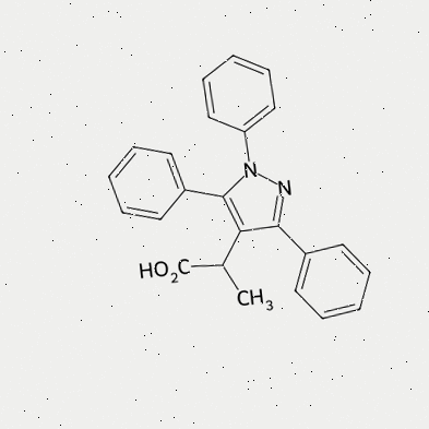 CC(C(=O)O)c1c(-c2ccccc2)nn(-c2ccccc2)c1-c1ccccc1